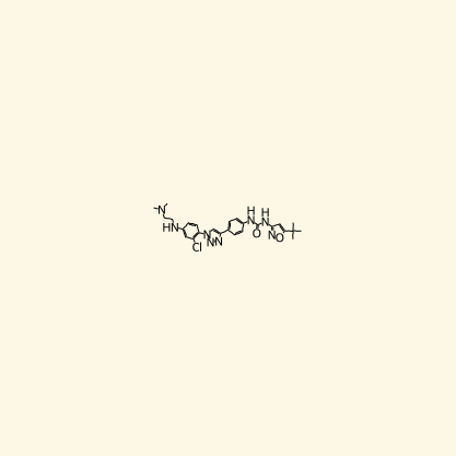 CN(C)CCNc1ccc(-n2cc(-c3ccc(NC(=O)Nc4cc(C(C)(C)C)on4)cc3)nn2)c(Cl)c1